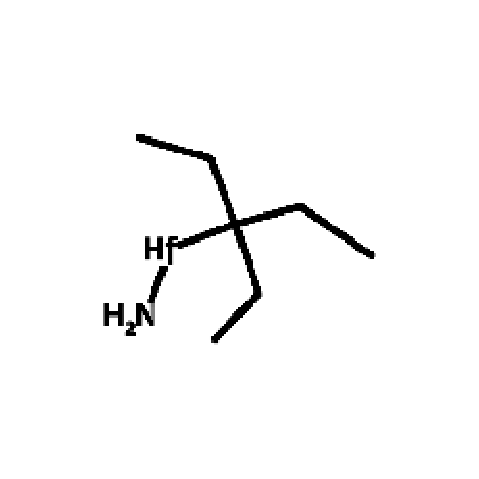 CC[C](CC)(CC)[Hf][NH2]